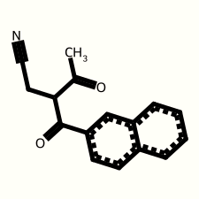 CC(=O)C(CC#N)C(=O)c1ccc2ccccc2c1